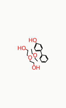 CCOCC.OCCOCCO.Oc1ccc(-c2ccccc2)cc1